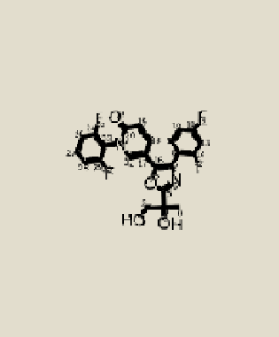 CC(O)(CO)c1nc(-c2ccc(F)cc2F)c(-c2ccc(=O)n(-c3c(F)cccc3F)c2)o1